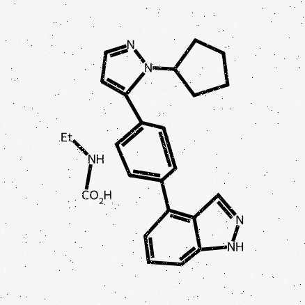 CCNC(=O)O.c1cc(-c2ccc(-c3ccnn3C3CCCC3)cc2)c2cn[nH]c2c1